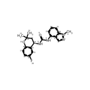 Cn1ncc2c(NC(=O)N[C@@H]3CC(C)(C)Oc4ccc(F)cc43)cccc21